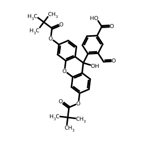 CC(C)(C)C(=O)Oc1ccc2c(c1)Oc1cc(OC(=O)C(C)(C)C)ccc1C2(O)c1ccc(C(=O)O)cc1C=O